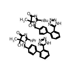 CCCC1=NC(=O)C(C)(C)N1Cc1ccc(-c2ccccc2-c2nnn[nH]2)cc1.CCCCC1=NC(=O)C(C)(C)N1Cc1ccc(-c2ccccc2-c2nnn[nH]2)cc1